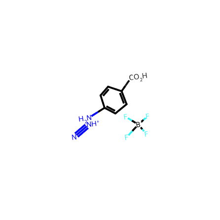 F[B-](F)(F)F.N#[NH+].Nc1ccc(C(=O)O)cc1